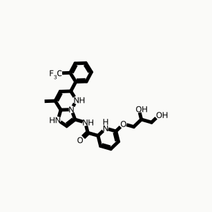 CC1=CC(c2ccccc2C(F)(F)F)NN2C(NC(=O)C3C=CC=C(OCC(O)CO)N3)=CNC12